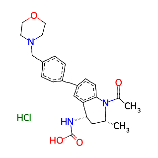 CC(=O)N1c2ccc(-c3ccc(CN4CCOCC4)cc3)cc2[C@@H](NC(=O)O)C[C@H]1C.Cl